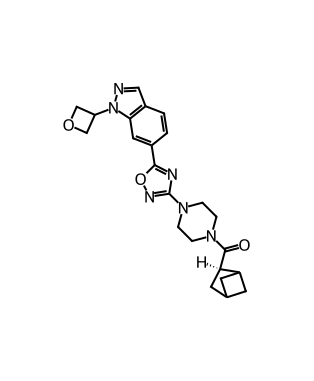 O=C([C@@H]1CC2CC1C2)N1CCN(c2noc(-c3ccc4cnn(C5COC5)c4c3)n2)CC1